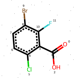 O=C(O)c1c(Cl)ccc(Br)c1F